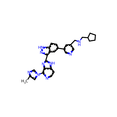 Cc1cn(-c2nccc3[nH]c(-c4n[nH]c5ccc(-c6cncc(CNCC7CCCC7)c6)cc45)nc23)cn1